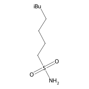 CCC(C)CCCCS(N)(=O)=O